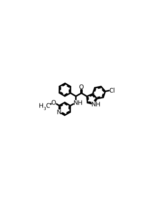 COc1cc(NC(C(=O)c2c[nH]c3cc(Cl)ccc23)c2ccccc2)ccn1